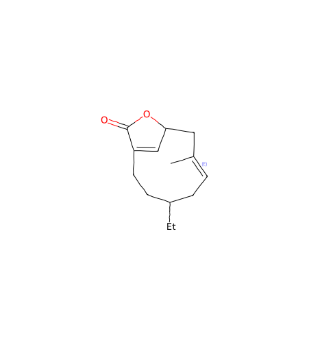 CCC1C/C=C(\C)CC2C=C(CC1)C(=O)O2